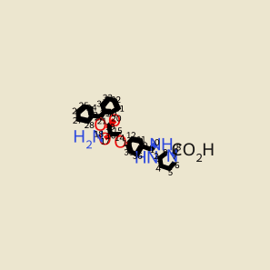 N=C(N[C@H]1CCCN(C(=O)O)C1)c1ccc(OCC(ON)C(=O)OC(c2ccccc2)c2ccccc2)cc1